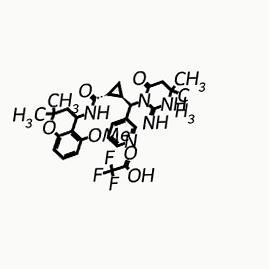 COc1cccc2c1C(NC(=O)[C@@H]1C[C@H]1C(c1cccnc1)N1C(=N)NC(C)(C)CC1=O)CC(C)(C)O2.O=C(O)C(F)(F)F